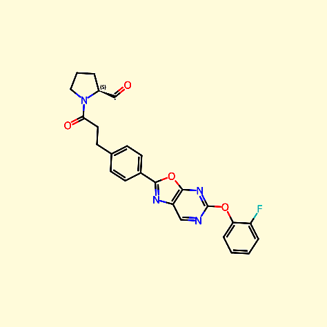 O=[C][C@@H]1CCCN1C(=O)CCc1ccc(-c2nc3cnc(Oc4ccccc4F)nc3o2)cc1